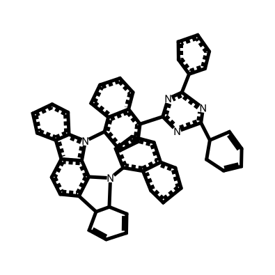 C1=CCC(c2nc(-c3ccccc3)nc(-c3ccc(-n4c5ccccc5c5ccc6c(c54)N(c4cccc5ccccc45)C4C=CC=CC64)c4ccccc34)n2)C=C1